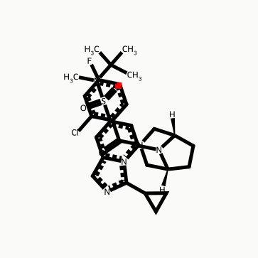 CN(C(C)(C)C)S(=O)(=O)c1cc(N2[C@@H]3CC[C@H]2CN(C(=O)c2ccc(F)cc2Cl)C3)n2c(C3CC3)ncc2c1